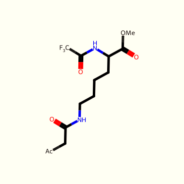 COC(=O)C(CCCCNC(=O)CC(C)=O)NC(=O)C(F)(F)F